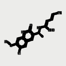 CC(C)Oc1cc2[nH]c(=O)c([C@H](C)N/C(C=O)=C/C=C/C#N)cc2cc1Cl